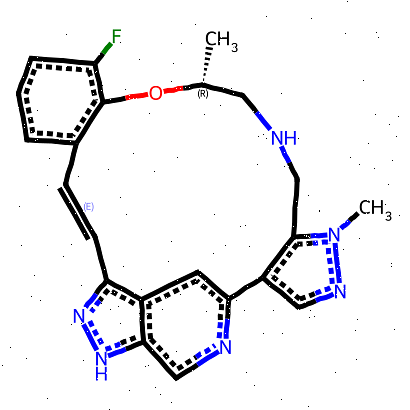 C[C@@H]1CNCc2c(cnn2C)-c2cc3c(n[nH]c3cn2)/C=C/c2cccc(F)c2O1